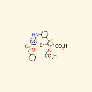 O=C(O)COc1c(C(=O)O)sc(-c2cccc(NC3CC4CCC3CN4S(=O)(=O)Cc3ccccc3)c2)c1Br